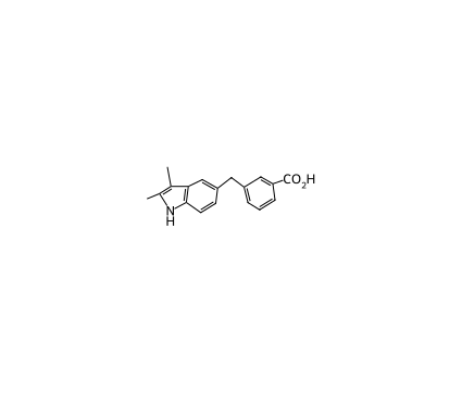 Cc1[nH]c2ccc(Cc3cccc(C(=O)O)c3)cc2c1C